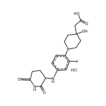 Cl.O=C(O)CC1(O)CCN(c2ccc(NC3CCC(=O)NC3=O)cc2F)CC1